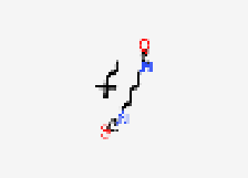 CCCC(C)(C)C.O=C=NCCCCCN=C=O